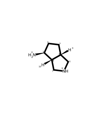 N[C@H]1CC[C@@H]2CNC[C@@H]21